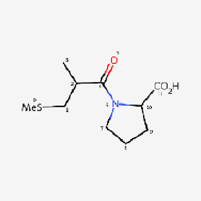 [CH2]SCC(C)C(=O)N1CCCC1C(=O)O